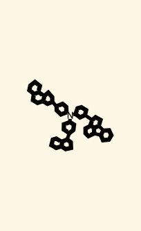 c1cc(-c2ccc3c4c(cccc24)-c2ccccc2-3)cc(N(c2ccc(-c3ccc4c(ccc5ccccc54)c3)cc2)c2ccc(-c3cccc4ccccc34)cc2)c1